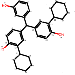 Oc1cccc(C(c2ccc(O)c(C3CCCCC3)c2)c2ccc(O)c(C3CCCCC3)c2)c1